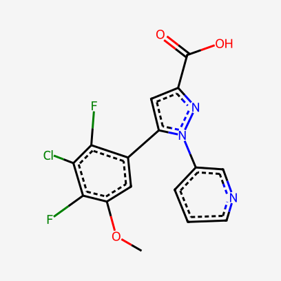 COc1cc(-c2cc(C(=O)O)nn2-c2cccnc2)c(F)c(Cl)c1F